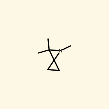 CN1C(C)(C)C12CC2